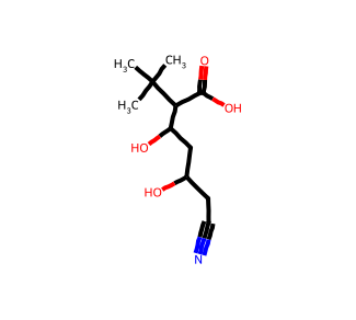 CC(C)(C)C(C(=O)O)C(O)CC(O)CC#N